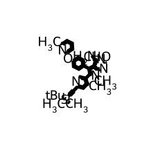 Cc1cccc(Oc2ccc(-c3c(-c4cnc(C#C[Si](C)(C)C(C)(C)C)cc4C)n(C)c4ncnc(N)c34)c(C=O)c2)n1